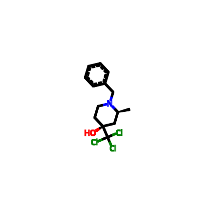 C[C@H]1C[C@](O)(C(Cl)(Cl)Cl)CCN1Cc1ccccc1